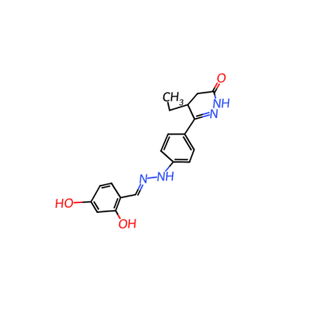 CCC1CC(=O)NN=C1c1ccc(NN=Cc2ccc(O)cc2O)cc1